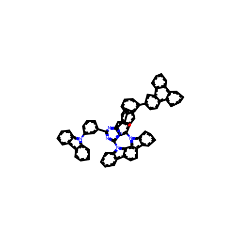 c1ccc(-c2nc(-c3cccc(-n4c5ccccc5c5ccccc54)c3)nc(-n3c4ccccc4c4ccc5c6ccccc6n(-c6cccc(-c7cccc(-c8ccc9c%10ccccc%10c%10ccccc%10c9c8)c7)c6)c5c43)n2)cc1